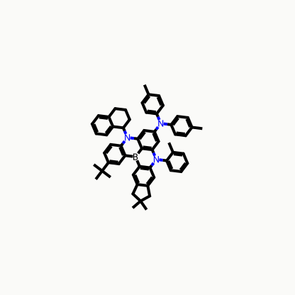 Cc1ccc(N(c2ccc(C)cc2)c2cc3c4c(c2)N(C2CCCc5ccccc52)c2ccc(C(C)(C)C)cc2B4c2cc4c(cc2N3c2ccccc2C)CC(C)(C)C4)cc1